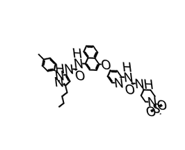 CCCCc1cc(NC(=O)Nc2ccc(Oc3ccnc(NC(=O)NC4CCN(S(C)(=O)=O)CC4)c3)c3ccccc23)n(-c2ccc(C)cc2)n1